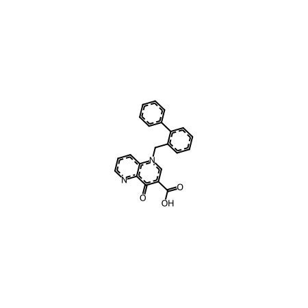 O=C(O)c1cn(Cc2ccccc2-c2ccccc2)c2cccnc2c1=O